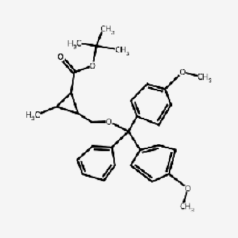 COc1ccc(C(OCC2C(C)C2C(=O)OC(C)(C)C)(c2ccccc2)c2ccc(OC)cc2)cc1